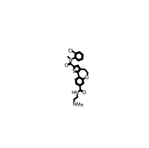 CNCCNC(=O)c1ccc2c(c1)OCCc1cc(C(=O)N(C)c3ccccc3Cl)sc1-2